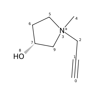 C#CC[N+]1(C)CC[C@@H](O)C1